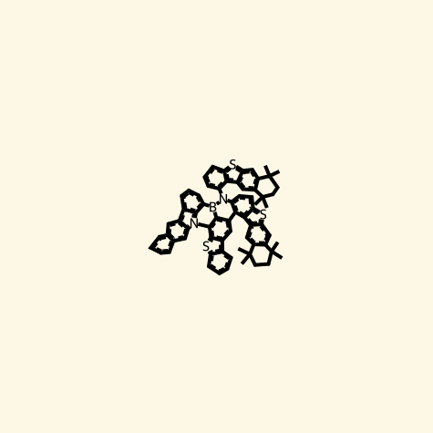 CC1(C)CCC(C)(C)c2cc3c(cc21)sc1cccc(N2B4c5c(cc6c(sc7ccccc76)c5-n5c6cc7ccccc7cc6c6cccc4c65)-c4c2ccc2sc5cc6c(cc5c42)C(C)(C)CCC6(C)C)c13